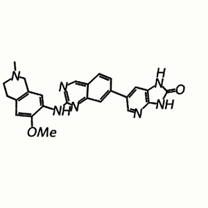 COc1cc2c(cc1Nc1ncc3ccc(-c4cnc5[nH]c(=O)[nH]c5c4)cc3n1)CN(C)CC2